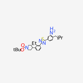 CCc1c(-c2nsc(-c3ccc(CC(C)C)c(N)c3)n2)cccc1C1CCN(C(=O)OC(C)(C)C)CC1